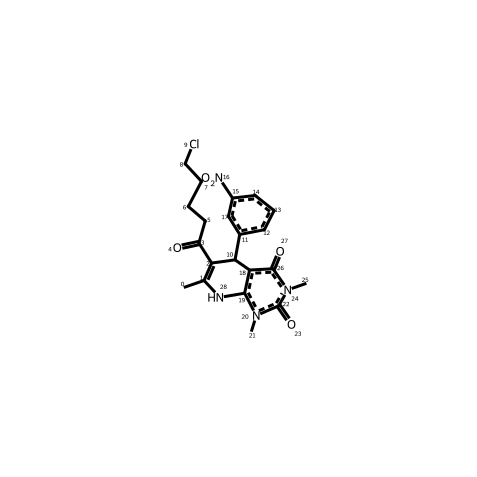 CC1=C(C(=O)CCCCCl)C(c2cccc([N+](=O)[O-])c2)c2c(n(C)c(=O)n(C)c2=O)N1